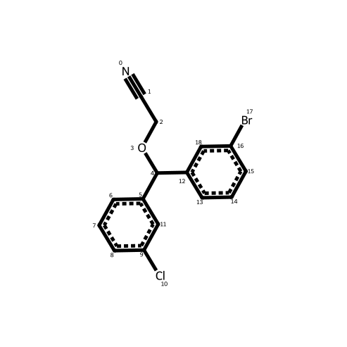 N#CCOC(c1cccc(Cl)c1)c1cccc(Br)c1